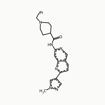 CC(C)CN1CCC(C(=O)Nc2cc3nc(-c4cnn(C)c4)ccc3cn2)CC1